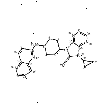 O=c1n(C2CCC(Nc3ccc4ncccc4n3)CC2)c2nccnc2n1C1CC1